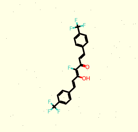 O=C(/C=C/c1ccc(C(F)(F)F)cc1)/C(F)=C(O)/C=C/c1ccc(C(F)(F)F)cc1